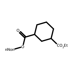 CCCCCCCCCOC(=O)C1CCCC(C(=O)OCC)C1